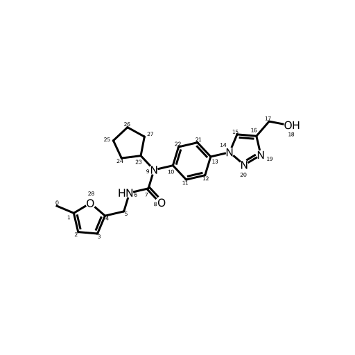 Cc1ccc(CNC(=O)N(c2ccc(-n3cc(CO)nn3)cc2)C2CCCC2)o1